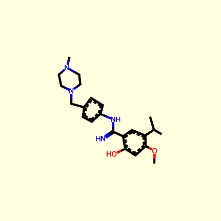 COc1cc(O)c(C(=N)Nc2ccc(CN3CCN(C)CC3)cc2)cc1C(C)C